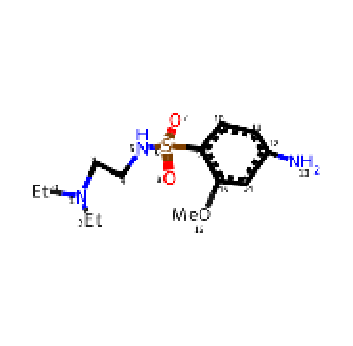 CCN(CC)CCNS(=O)(=O)c1ccc(N)cc1OC